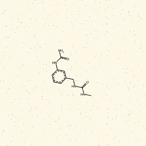 CNC(=O)NCc1cccc(NC(N)=O)c1